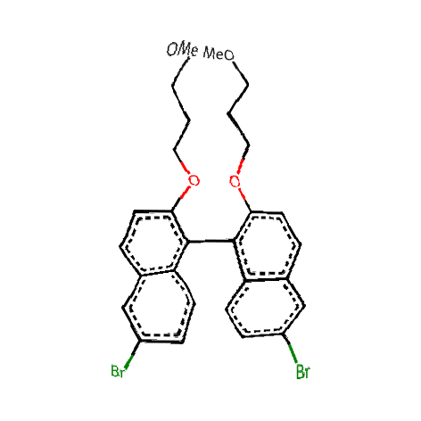 COCCCOc1ccc2cc(Br)ccc2c1-c1c(OCCCOC)ccc2cc(Br)ccc12